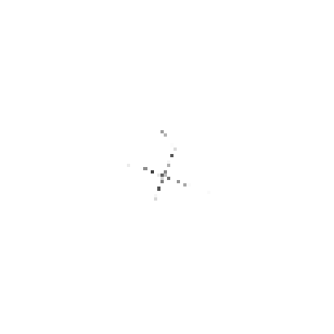 CSCC(C)(N)C#N